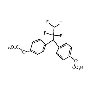 O=C(O)Oc1ccc(C(c2ccc(OC(=O)O)cc2)C(F)(F)C(F)F)cc1